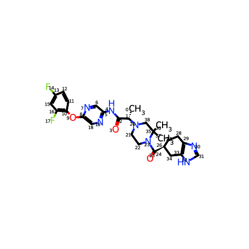 C[C@@H](C(=O)Nc1cnc(Oc2ccc(F)cc2F)cn1)N1CCN(C(=O)[C@H]2CCc3nc[nH]c3C2)C(C)(C)C1